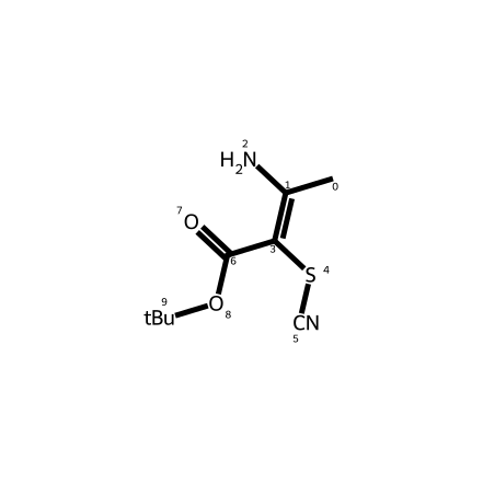 C/C(N)=C(\SC#N)C(=O)OC(C)(C)C